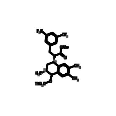 CCOC(=O)ON1c2cc(C)c(C)cc2[C@@H](N(Cc2cc(C(F)(F)F)cc(C(F)(F)F)c2)C(=O)OC)C[C@H]1C